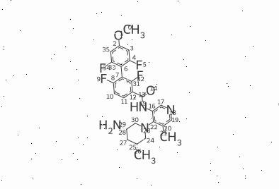 COc1cc(F)c(-c2c(F)ccc(C(=O)Nc3cncc(C)c3N3C[C@H](C)C[C@H](N)C3)c2F)c(F)c1